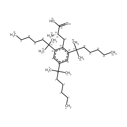 CCCCCC(C)(C)c1cc(C(C)(C)CCCCC)c(C[C@H](N)C(=O)O)c(C(C)(C)CCCCC)c1